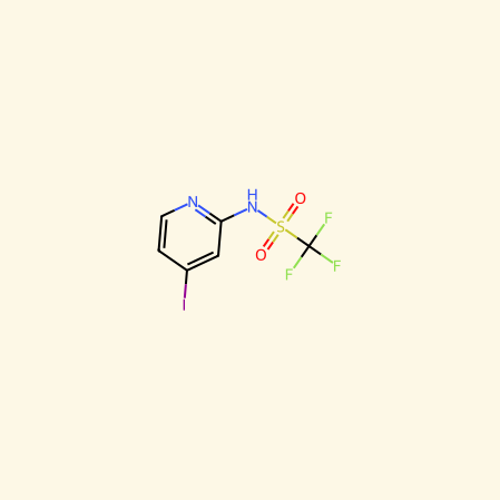 O=S(=O)(Nc1cc(I)ccn1)C(F)(F)F